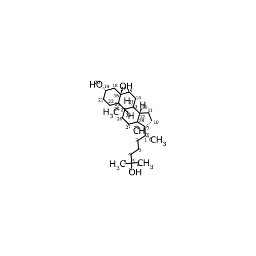 C[C@H](CCCC(C)(C)O)[C@H]1CC[C@H]2[C@@H]3CC[C@@]4(O)C[C@@H](O)CC[C@]4(C)[C@H]3CC[C@]12C